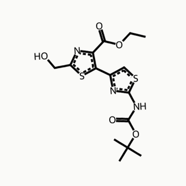 CCOC(=O)c1nc(CO)sc1-c1csc(NC(=O)OC(C)(C)C)n1